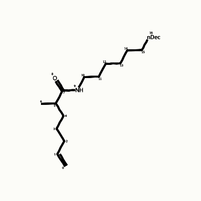 C=CCCCC(C)C(=O)NCCCCCCCCCCCCCCCC